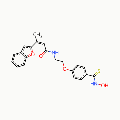 C/C(=C/C(=O)NCCOc1ccc(C(=S)NO)cc1)c1cc2ccccc2o1